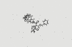 CC(OCc1ccccc1)[C@H](NC(=O)C(F)(F)F)C(=O)NCC1OC2OCCCOC1C(O)C2O